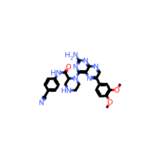 COc1ccc(-c2cnc3nc(N)nc(N4CCNCC4C(=O)Nc4ccc(C#N)cc4)c3n2)cc1OC